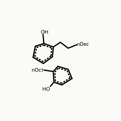 CCCCCCCCCCCCc1ccccc1O.CCCCCCCCc1ccccc1O